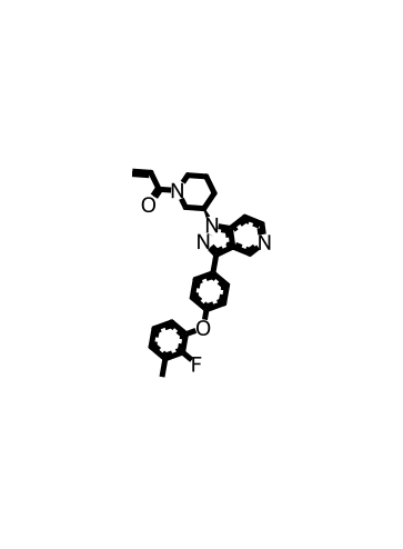 C=CC(=O)N1CCC[C@@H](n2nc(-c3ccc(Oc4cccc(C)c4F)cc3)c3cnccc32)C1